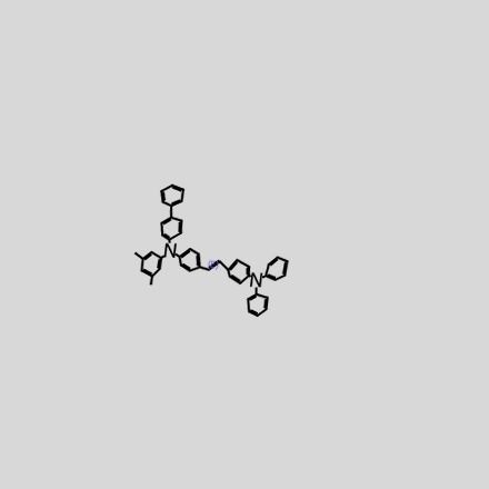 Cc1cc(C)cc(N(c2ccc(/C=C/c3ccc(N(c4ccccc4)c4ccccc4)cc3)cc2)c2ccc(-c3ccccc3)cc2)c1